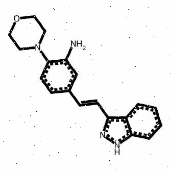 Nc1cc(C=Cc2n[nH]c3ccccc23)ccc1N1CCOCC1